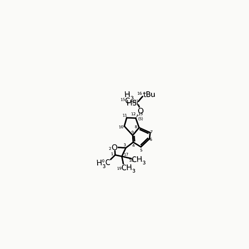 CC1OC(c2cccc3c2CC[C@@H]3O[SiH](C)C(C)(C)C)C1(C)C